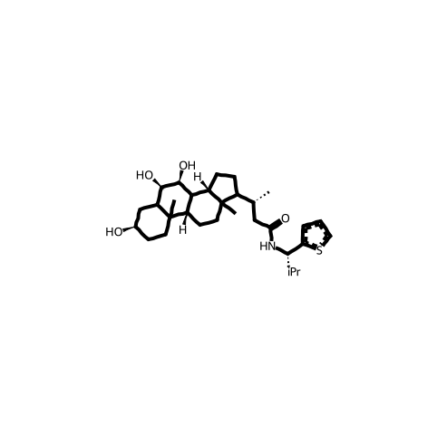 CC(C)[C@H](NC(=O)C[C@@H](C)C1CC[C@H]2C3[C@H](O)[C@H](O)C4C[C@H](O)CCC4(C)[C@H]3CCC12C)c1cccs1